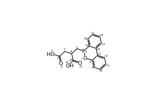 O=C(O)CC(CP1Oc2ccccc2-c2ccccc21)C(=O)O